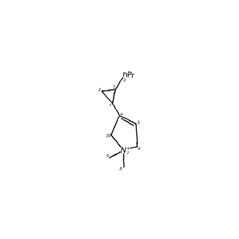 CCCC1CC1C1=CC[N+](C)(C)C1